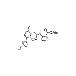 COC(=O)c1scnc1NC(=O)Cc1c(Cl)ccc(-c2ccc(Cl)s2)c1Cl